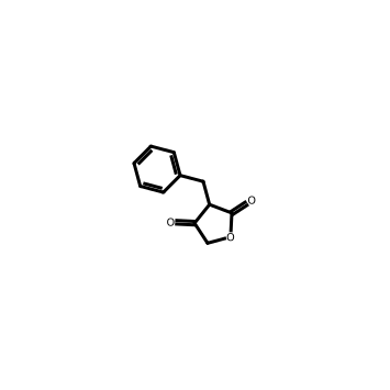 O=C1COC(=O)C1Cc1ccccc1